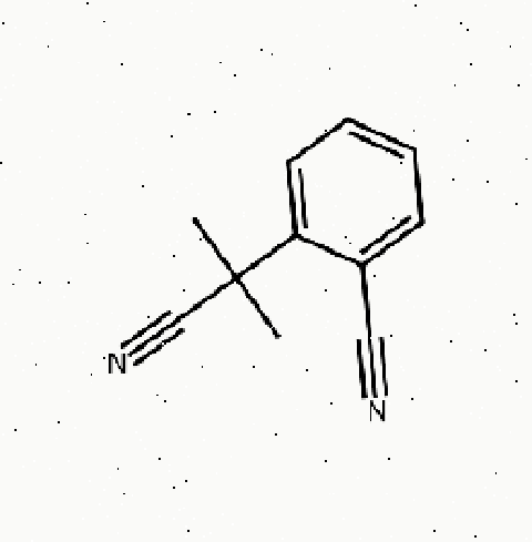 CC(C)(C#N)c1ccccc1C#N